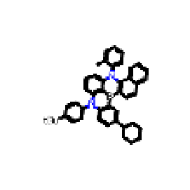 Cc1ccccc1N1c2cccc3c2B(c2cc(C4CCCCC4)ccc2N3c2ccc(C(C)(C)C)cc2)c2ccc3ccccc3c21